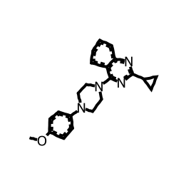 COc1ccc(N2CCN(c3nc(C4CC4)nc4ccccc34)CC2)cc1